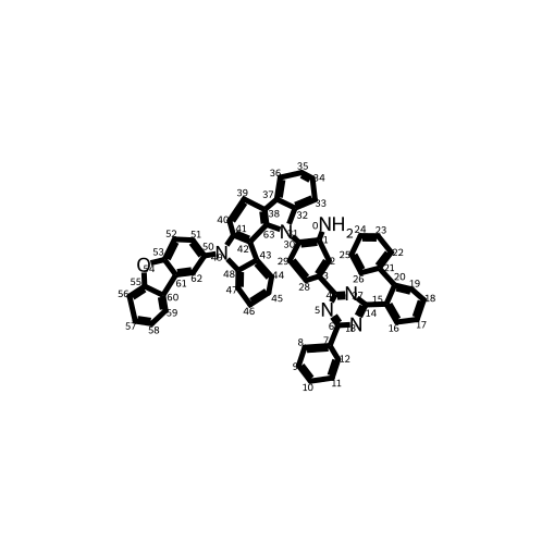 Nc1cc(-c2nc(-c3ccccc3)nc(-c3ccccc3-c3ccccc3)n2)ccc1-n1c2ccccc2c2ccc3c(c4ccccc4n3-c3ccc4oc5ccccc5c4c3)c21